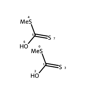 CSC(O)=S.CSC(O)=S